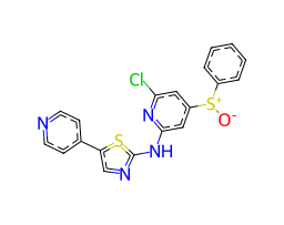 [O-][S+](c1ccccc1)c1cc(Cl)nc(Nc2ncc(-c3ccncc3)s2)c1